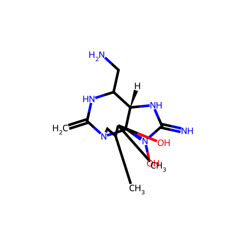 C=C1NC(CN)[C@@H]2NC(=N)N(O)[C@]23N1CC(C)C3(C)O